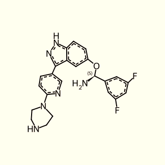 N[C@@H](Oc1ccc2[nH]nc(-c3ccc(N4CCNCC4)nc3)c2c1)c1cc(F)cc(F)c1